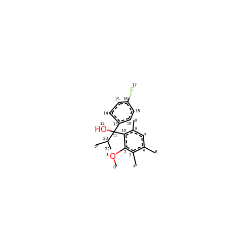 COc1c(C)c(C)cc(C)c1C(O)(c1ccc(F)cc1)C(C)C